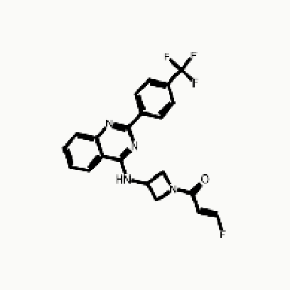 O=C(C=CF)N1CC(Nc2nc(-c3ccc(C(F)(F)F)cc3)nc3ccccc23)C1